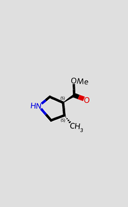 COC(=O)[C@@H]1CNC[C@H]1C